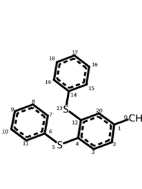 Cc1ccc(Sc2ccccc2)c(Sc2ccccc2)c1